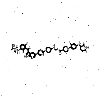 CCN(C)S(=O)(=O)Nc1ccc(F)c(C(=O)c2c[nH]c3ncc(-c4cnc(N5CCC(NCOC(=O)C6CCN(c7ccc(NC8CCC(=O)NC8=O)cc7F)CC6)CC5)nc4)cc23)c1F